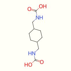 O=C(O)NCC1CCC(CNC(=O)O)CC1